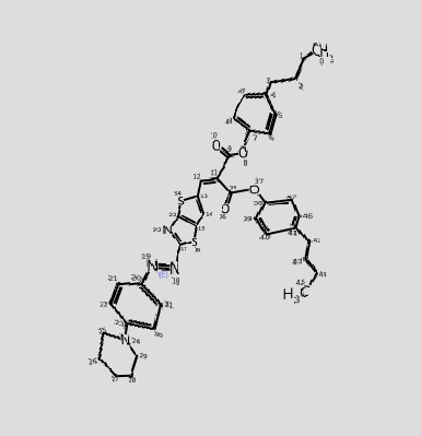 CCCCc1ccc(OC(=O)C(=Cc2cc3sc(/N=N/c4ccc(N5CCCCC5)cc4)nc3s2)C(=O)Oc2ccc(CCCC)cc2)cc1